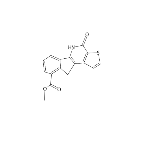 COC(=O)c1cccc2c1Cc1c-2[nH]c(=O)c2sccc12